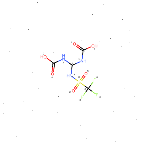 O=C(O)NC(NC(=O)O)NS(=O)(=O)C(F)(F)F